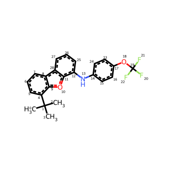 CC(C)(C)c1cccc2c1oc1c(Nc3ccc(OC(F)(F)F)cc3)cccc12